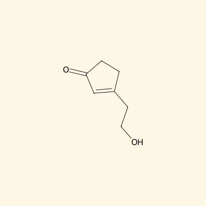 O=C1C=C(CCO)CC1